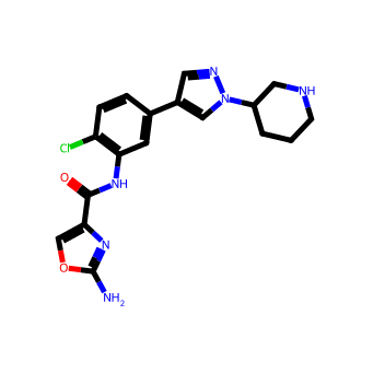 Nc1nc(C(=O)Nc2cc(-c3cnn(C4CCCNC4)c3)ccc2Cl)co1